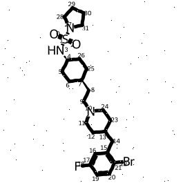 O=S(=O)(N[C@H]1CC[C@H](CCN2CCC(Cc3cc(F)ccc3Br)CC2)CC1)N1CCCC1